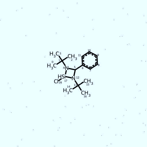 CC(C)(C)N1C(c2ccccc2)N(C(C)(C)C)[SiH]1Cl